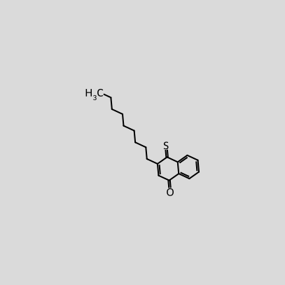 CCCCCCCCCC1=CC(=O)c2ccccc2C1=S